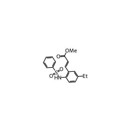 CCc1ccc(NS(=O)(=O)c2ccccc2)c(C=CC(=O)OC)c1